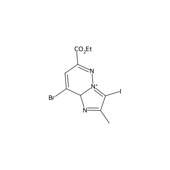 CCOC(=O)C1=N[N+]2=C(I)C(C)=NC2C(Br)=C1